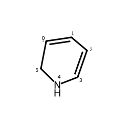 [C]1=CC=CNC1